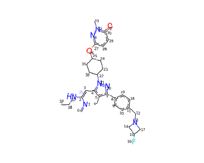 C=N/C(=C\c1c(C)c(-c2ccc(CN3CC(F)C3)cc2)nn1C1CCC(Oc2ccc(=O)n(C)n2)CC1)NCC